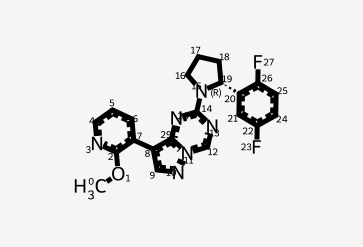 COc1ncccc1-c1cnn2cnc(N3CCC[C@@H]3c3cc(F)ccc3F)nc12